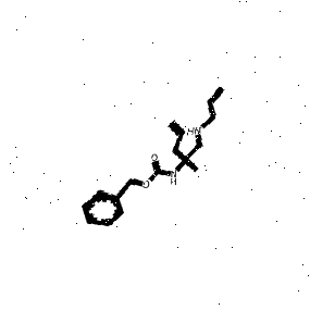 C=CCNCC(C)(CC=C)NC(=O)OCc1ccccc1